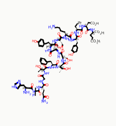 CC(C)C[C@H](NC(=O)[C@H](Cc1ccc(O)cc1)NC(=O)[C@H](CCCCN)NC(=O)[C@H](CO)NC(=O)[C@H](Cc1ccc(O)cc1)NC(=O)[C@H](CC(=O)O)NC(=O)[C@H](CO)NC(=O)[C@@H](NC(=O)[C@H](Cc1ccccc1)NC(=O)[C@@H](NC(=O)CNC(=O)[C@H](CCC(N)=O)NC(=O)C(C)(C)NC(=O)[C@@H](N)Cc1c[nH]cn1)[C@@H](C)O)[C@@H](C)O)C(=O)N[C@@H](CC(=O)O)C(=O)N[C@@H](CCC(=O)O)C(=O)O